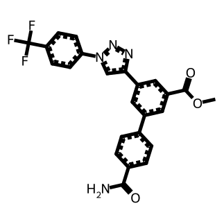 COC(=O)c1cc(-c2ccc(C(N)=O)cc2)cc(-c2cn(-c3ccc(C(F)(F)F)cc3)nn2)c1